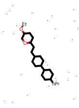 CCCC1CCC(C2CCC(CCC3CCC(OCC)CO3)CC2)CC1